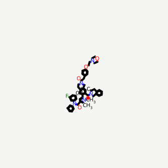 Cc1c(C(=O)N(c2ccccc2)c2cc(F)cc(C#N)c2)cc(-c2cc3c(cc2C(=O)N2Cc4ccccc4C[C@H]2C)CN(C(=O)Cc2ccc(OCCN4CCOCC4)cc2)CC3)n1C